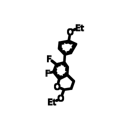 CCOc1ccc(-c2cc3c(c(F)c2F)OC(OCC)CC3)cc1